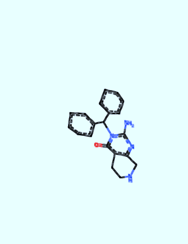 Nc1nc2c(c(=O)n1C(c1ccccc1)c1ccccc1)CCNC2